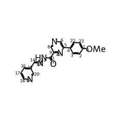 COc1ccc(-c2cncc(C(=O)NN=Cc3cccnc3)n2)cc1